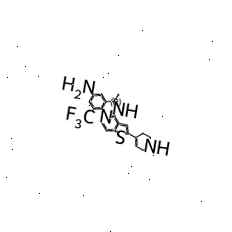 C[C@@H](Nc1nccc2sc(C3=CCNCC3)cc12)c1cc(N)cc(C(F)(F)F)c1